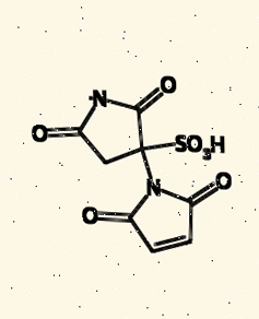 O=C1CC(N2C(=O)C=CC2=O)(S(=O)(=O)O)C(=O)[N]1